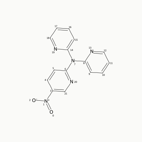 O=[N+]([O-])c1ccc(N(c2ccccn2)c2ccccn2)nc1